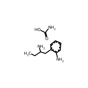 CCC(N)Cc1ccccc1N.NC(=O)O